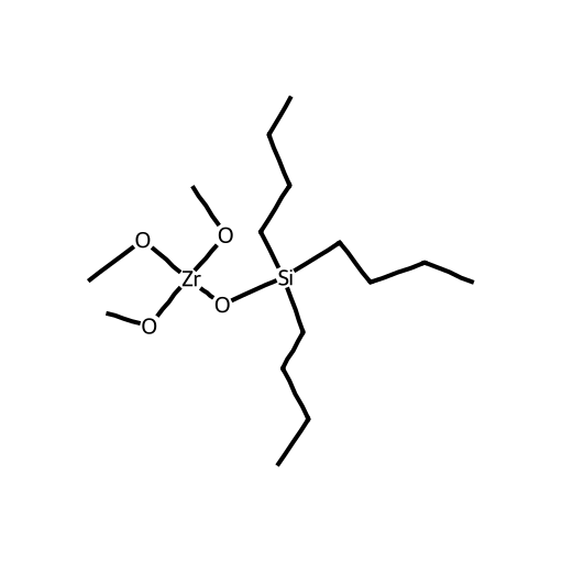 CCCC[Si](CCCC)(CCCC)[O][Zr]([O]C)([O]C)[O]C